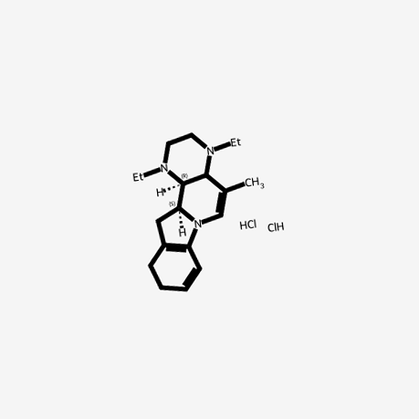 CCN1CCN(CC)[C@H]2C1C(C)=CN1C3=C(CCC=C3)C[C@@H]21.Cl.Cl